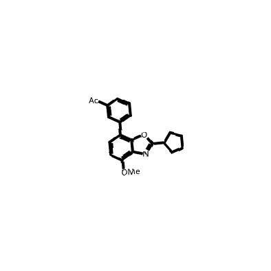 COc1ccc(-c2cccc(C(C)=O)c2)c2oc(C3CCCC3)nc12